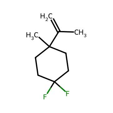 C=C(C)C1(C)CCC(F)(F)CC1